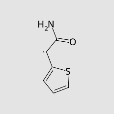 NC(=O)[CH]c1cccs1